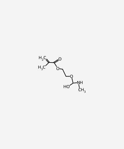 C=C(C)C(=O)OCCOC(O)NC